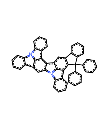 c1ccc(C2(c3ccccc3)c3ccccc3-c3cc4c5c6c7ccccc7n7c8ccccc8c(cc5n5c8ccccc8c(c32)c45)c67)cc1